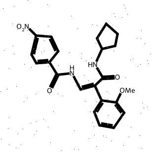 COc1ccccc1C(=CNC(=O)c1ccc([N+](=O)[O-])cc1)C(=O)NC1CCCC1